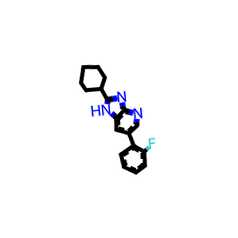 Fc1ccccc1-c1cnc2nc(C3CCCCC3)[nH]c2c1